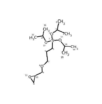 CC(C)[O][Ti]([CH2]CCOCC1CO1)([O]C(C)C)[O]C(C)C